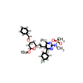 CC(C)c1nc(N(C)S(C)(=O)=O)nc(-c2ccc(F)cc2)c1/C=C/[C@@H]1C[C@@H](OCc2ccccc2)CC(OC(C)(C)C)O1